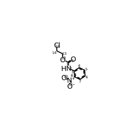 O=C(Nc1ccccc1[N+](=O)[O-])OCCCl